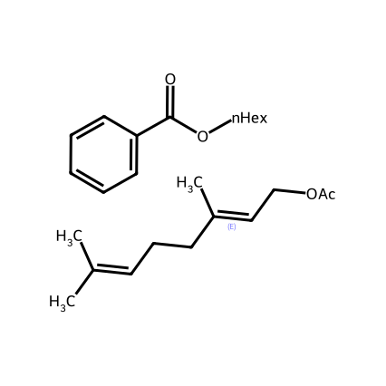 CC(=O)OC/C=C(\C)CCC=C(C)C.CCCCCCOC(=O)c1ccccc1